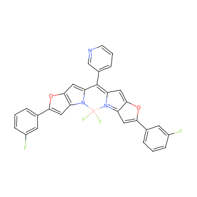 Fc1cccc(-c2cc3c(o2)=CC2=C(c4cccnc4)c4cc5oc(-c6cccc(F)c6)cc5n4[B-](F)(F)[N+]=32)c1